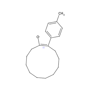 Cc1ccc(/C2=C(\[O])CCCCCCCCCC2)cc1